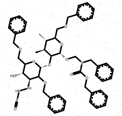 C[C@@H]1C(COCc2ccccc2)O[C@H](OCN(Cc2ccccc2)C(=O)OCc2ccccc2)C(O[C@H]2OC(COCc3ccccc3)[C@@H](O)[C@H](PBB=O)C2OCc2ccccc2)[C@H]1C